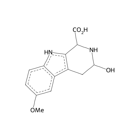 COc1ccc2[nH]c3c(c2c1)CC(O)NC3C(=O)O